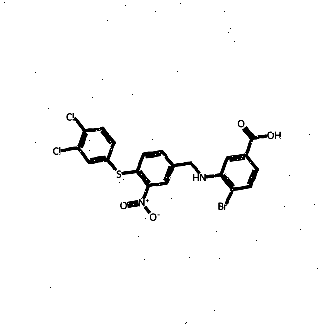 O=C(O)c1ccc(Br)c(NCc2ccc(Sc3ccc(Cl)c(Cl)c3)c([N+](=O)[O-])c2)c1